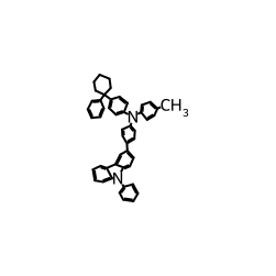 Cc1ccc(N(c2ccc(-c3ccc4c(c3)c3ccccc3n4-c3ccccc3)cc2)c2ccc(C3(c4ccccc4)CCCCC3)cc2)cc1